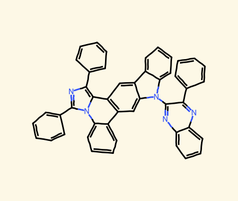 c1ccc(-c2nc3ccccc3nc2-n2c3ccccc3c3cc4c(cc32)c2ccccc2n2c(-c3ccccc3)nc(-c3ccccc3)c42)cc1